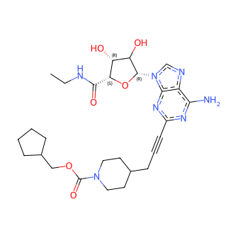 CCNC(=O)[C@H]1O[C@@H](n2cnc3c(N)nc(C#CCC4CCN(C(=O)OCC5CCCC5)CC4)nc32)C(O)[C@H]1O